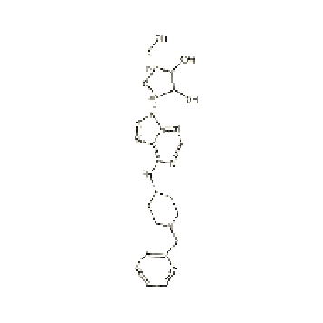 OC[C@H]1O[C@@H](n2cnc3c(NC4CCN(Cc5ccccc5)CC4)ncnc32)C(O)C1O